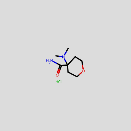 CN(C)C1(C(N)=O)CCOCC1.Cl